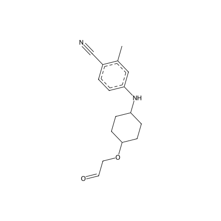 Cc1cc(NC2CCC(OCC=O)CC2)ccc1C#N